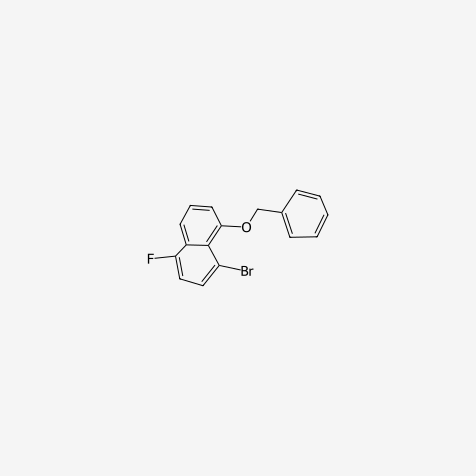 Fc1ccc(Br)c2c(OCc3ccccc3)cccc12